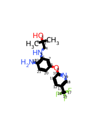 CC(C)(O)CNc1cc(Oc2ccc(C(F)(F)F)cn2)ccc1N